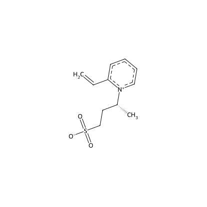 C=Cc1cccc[n+]1[C@H](C)CCS(=O)(=O)[O-]